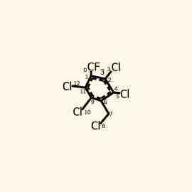 FC(F)(F)c1c(Cl)c(Cl)c(CCl)c(Cl)c1Cl